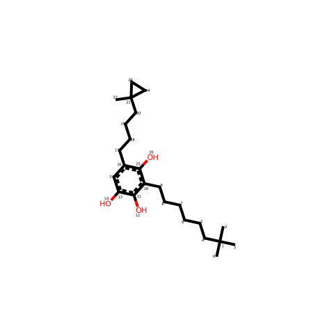 CC(C)(C)CCCCCCc1c(O)c(O)cc(CCCCC2(C)CC2)c1O